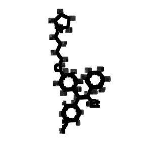 CC/C(=C(\c1ccc(I)cc1)c1ccc(OCCCCN2CCCC2)cc1)c1ccccc1